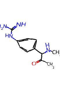 CNC(C(C)=O)c1ccc(NC(=N)N)cc1